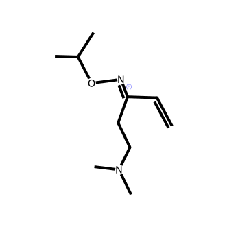 C=C/C(CCN(C)C)=N/OC(C)C